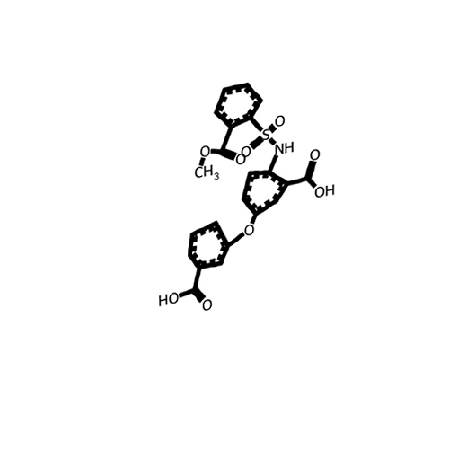 COC(=O)c1ccccc1S(=O)(=O)Nc1ccc(Oc2cccc(C(=O)O)c2)cc1C(=O)O